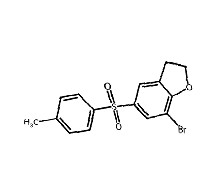 Cc1ccc(S(=O)(=O)c2cc(Br)c3c(c2)CCO3)cc1